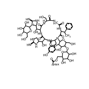 CCCCCCC(=O)OCC1OC(OC2C(CO)OC(N3C(=O)C(C(C)c4ccccc4)NC(=O)CNC(=O)C(CO)NC(=O)C(C(O)C4CNC(=N)N4C4OC(CO)C(O)C(O)C4O)NC(=O)C(C(O)C4CNC(=N)N4)NC(=O)C3Cc3ccc(O)cc3)C(O)C2O)C(O)C(O)C1O